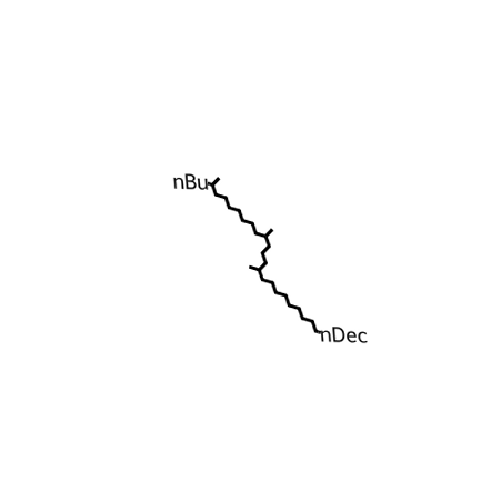 CCCCCCCCCCCCCCCCCCCC(C)CCCC(C)CCCCCCCC(C)CCCC